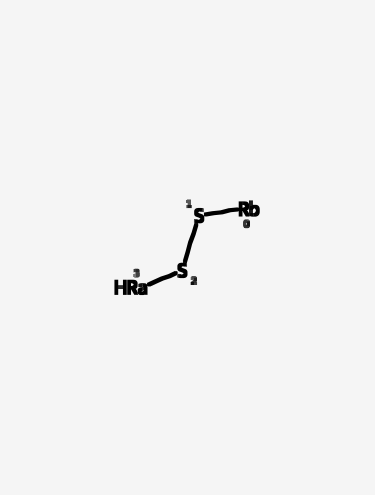 [Rb][S][S][RaH]